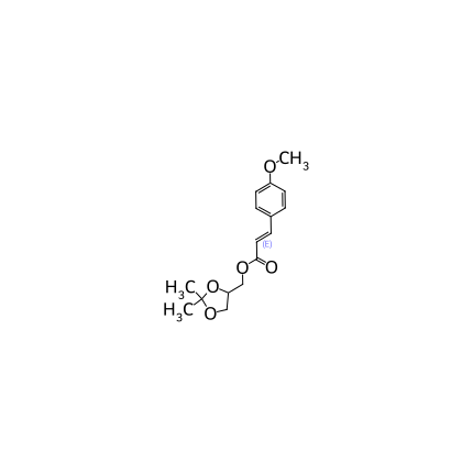 COc1ccc(/C=C/C(=O)OCC2COC(C)(C)O2)cc1